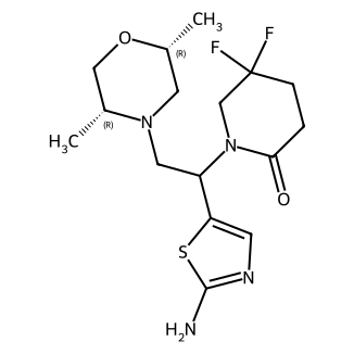 C[C@@H]1CN(CC(c2cnc(N)s2)N2CC(F)(F)CCC2=O)[C@H](C)CO1